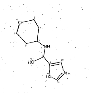 OC(NC1CCOCC1)c1cnc[nH]1